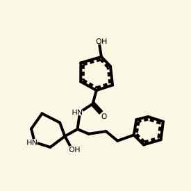 O=C(NC(CCCc1ccccc1)C1(O)CCCNC1)c1ccc(O)cc1